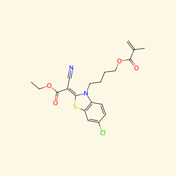 C=C(C)C(=O)OCCCCN1/C(=C(\C#N)C(=O)OCC)Sc2cc(Cl)ccc21